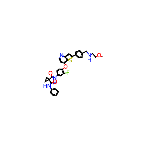 COCCNCc1ccc(-c2cc3nccc(Oc4ccc(NC(=O)C5(C(=O)Nc6ccccc6)CC5)cc4F)c3s2)cc1